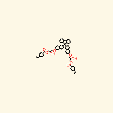 C=Cc1ccc(C(=O)OCC(O)COc2ccc3cc(C4(c5ccc6cc(OCC(O)COC(=O)c7ccc(C=C)cc7)ccc6c5)c5ccccc5-c5ccccc54)ccc3c2)cc1